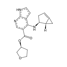 O=C(O[C@H]1CCOC1)c1cnc2[nH]ccc2c1N[C@H]1CC=C2C[C@@H]21